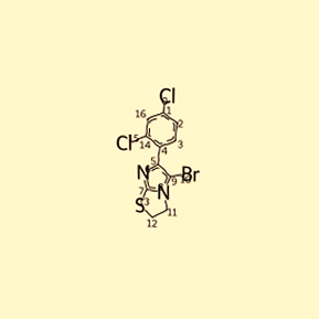 Clc1ccc(-c2nc3n(c2Br)CCS3)c(Cl)c1